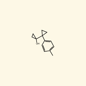 Cc1ccc(C2(C3(O)CC3)CC2)cc1